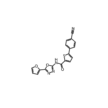 N#Cc1ccc(-c2ccc(C(=O)Nc3nnc(-c4ccco4)o3)s2)cc1